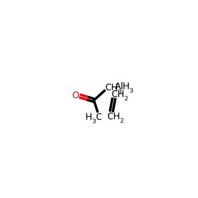 C=C.CC(C)=O.[AlH3]